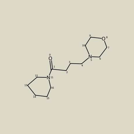 O=C(CCCN1CCOCC1)N1CC[CH]CC1